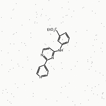 CCOC(=O)c1cccc(Nc2ccnc(-c3ccncc3)n2)c1